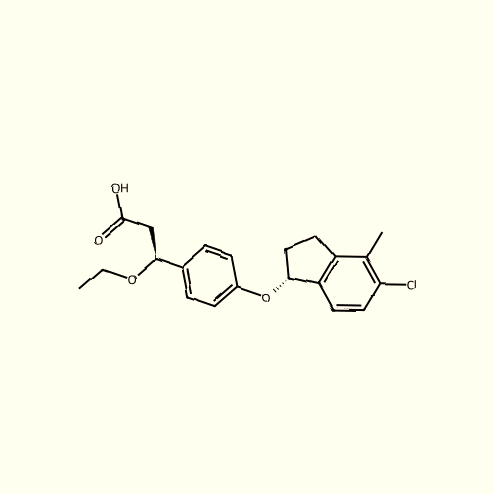 CCO[C@@H](CC(=O)O)c1ccc(O[C@@H]2CCc3c2ccc(Cl)c3C)cc1